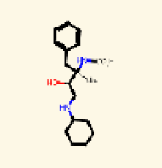 CC(C)(C)[C@](Cc1ccccc1)(NC(=O)O)[C@H](O)CNC1CCCCC1